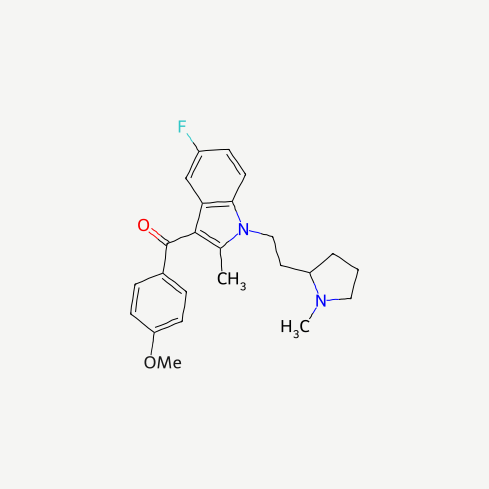 COc1ccc(C(=O)c2c(C)n(CCC3CCCN3C)c3ccc(F)cc23)cc1